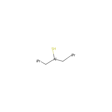 CC(C)[CH2][Al]([SH])[CH2]C(C)C